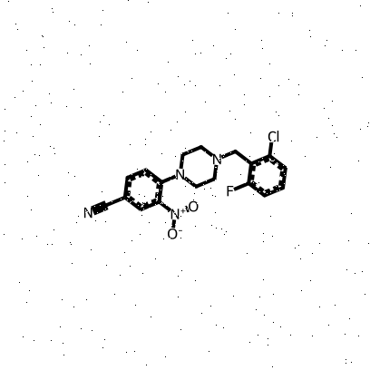 N#Cc1ccc(N2CCN(Cc3c(F)cccc3Cl)CC2)c([N+](=O)[O-])c1